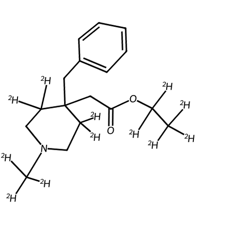 [2H]C([2H])([2H])N1CC([2H])([2H])C(CC(=O)OC([2H])([2H])C([2H])([2H])[2H])(Cc2ccccc2)C([2H])([2H])C1